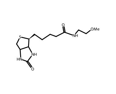 COCCNC(=O)CCCC[C@@H]1SCC2NC(=O)NC21